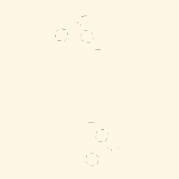 Cc1cc(C(=O)OCCCCCCCCOC(=O)c2ccc(N3C(=O)CSC3c3ccc(F)cc3)c(C)c2)ccc1N1C(=O)CSC1c1ccc(F)cc1